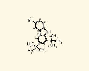 CC(C)(C)c1cc(C(C)(C)C)c2[nH]c3ccc(Br)cc3c2c1